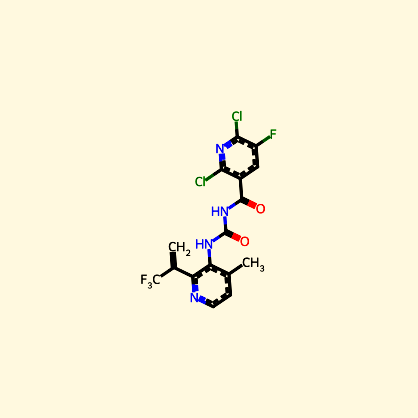 C=C(c1nccc(C)c1NC(=O)NC(=O)c1cc(F)c(Cl)nc1Cl)C(F)(F)F